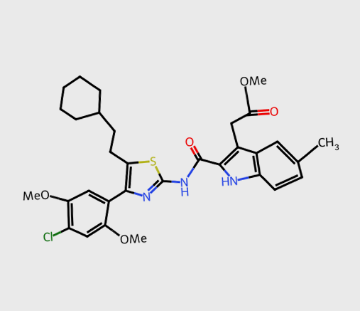 COC(=O)Cc1c(C(=O)Nc2nc(-c3cc(OC)c(Cl)cc3OC)c(CCC3CCCCC3)s2)[nH]c2ccc(C)cc12